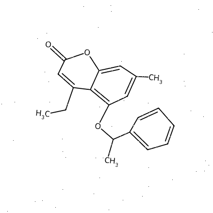 CCc1cc(=O)oc2cc(C)cc(OC(C)c3ccccc3)c12